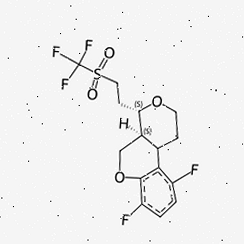 O=S(=O)(CC[C@@H]1OCCC2c3c(F)ccc(F)c3OC[C@H]21)C(F)(F)F